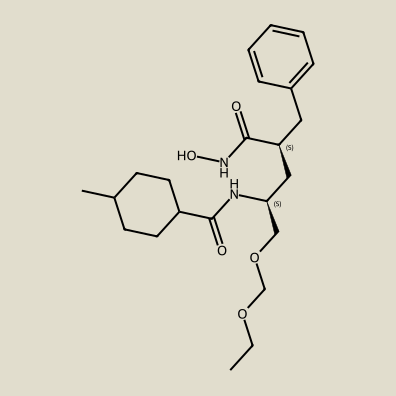 CCOCOC[C@H](C[C@H](Cc1ccccc1)C(=O)NO)NC(=O)C1CCC(C)CC1